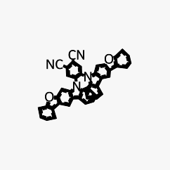 N#Cc1cc(-n2c3ccccc3c3cc4c(cc32)oc2ccccc24)c(-n2c3ccccc3c3cc4c(cc32)oc2ccccc24)cc1C#N